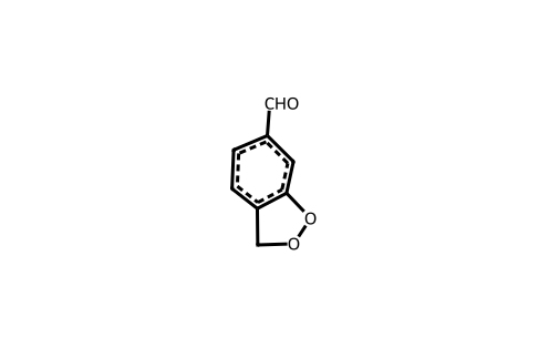 O=Cc1ccc2c(c1)OOC2